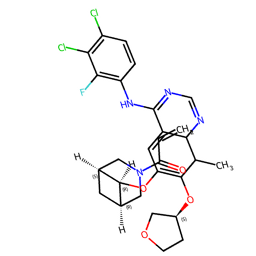 C=CC(=O)N1C[C@H]2C[C@@H](C1)[C@H]2OC1=C(O[C@H]2CCOC2)C(C)C2N=CN=C(Nc3ccc(Cl)c(Cl)c3F)C2=C1